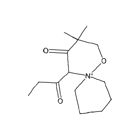 CCC(=O)C1C(=O)C(C)(C)CO[N+]12CCCCC2